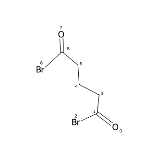 O=C(Br)CCCC(=O)Br